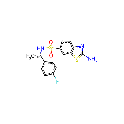 Nc1nc2ccc(S(=O)(=O)N[C@H](c3ccc(F)cc3)C(F)(F)F)cc2s1